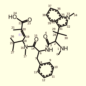 CNC(C(=O)NC(Cc1ccccc1)C(=O)N(C)C(/C=C(\C)C(=O)O)C(C)C)C(C)(C)c1cn(C)c2ccccc12